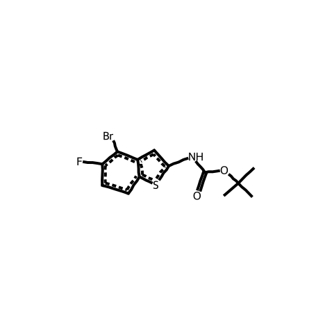 CC(C)(C)OC(=O)Nc1cc2c(Br)c(F)ccc2s1